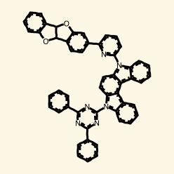 c1ccc(-c2nc(-c3ccccc3)nc(-n3c4ccccc4c4c5c6ccccc6n(-c6cccc(-c7ccc8c(c7)OC7c9ccccc9OC87)n6)c5ccc43)n2)cc1